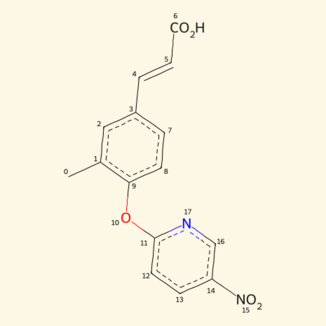 Cc1cc(C=CC(=O)O)ccc1Oc1ccc([N+](=O)[O-])cn1